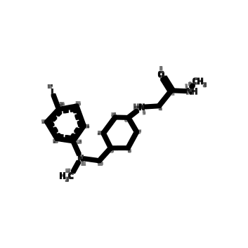 CNC(=O)CNC1CCC(CN(C)c2ccc(I)cc2)CC1